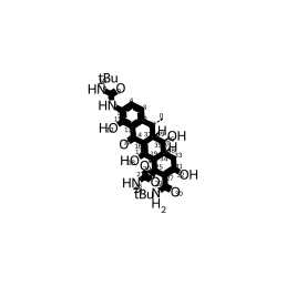 C[C@H]1c2ccc(NC(=O)NC(C)(C)C)c(O)c2C(=O)C2=C(O)[C@]3(OC(=O)NC(C)(C)C)C(=O)C(C(N)=O)=C(O)C[C@@H]3[C@@H](O)[C@@H]21